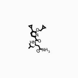 CC(C)C[C@@H](CC(N)=O)NC(=O)c1ccc(C2CC2)c(OCC2CC2)n1